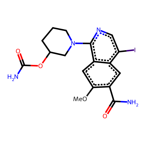 COc1cc2c(N3CCCC(OC(N)=O)C3)ncc(I)c2cc1C(N)=O